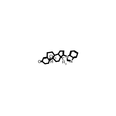 CC12CC[C@@H]3C(CCC4=CC(=O)CCC43C)C1CC=C2n1cnc2ccccc21